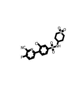 N#Cc1nc(-c2ccc(S(=O)(=O)NC3CCS(=O)(=O)CC3)cc2Cl)ccc1F